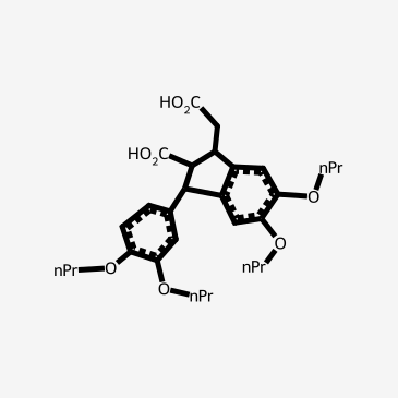 CCCOc1ccc(C2c3cc(OCCC)c(OCCC)cc3C(CC(=O)O)C2C(=O)O)cc1OCCC